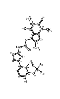 Cc1oc2c(c1CC(=O)Nc1nc(-c3ccc(F)c(OC(F)(F)F)c3F)cs1)c(=O)n(C)c(=O)n2C